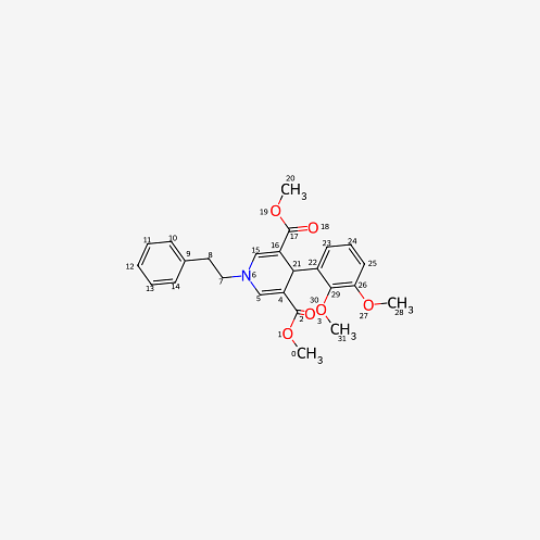 COC(=O)C1=CN(CCc2ccccc2)C=C(C(=O)OC)C1c1cccc(OC)c1OC